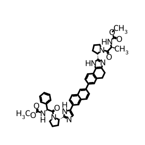 COC(=O)N[C@@H](C)C(=O)N1CCC[C@H]1c1nc2c([nH]1)-c1ccc(-c3ccc4cc(-c5cnc([C@@H]6CCCN6C(=O)[C@H](NC(=O)OC)c6ccccc6)[nH]5)ccc4c3)cc1CC2